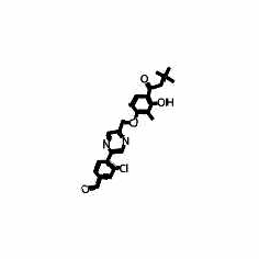 Cc1c(OCc2cnc(-c3ccc(C=O)cc3Cl)cn2)ccc(C(=O)CC(C)(C)C)c1O